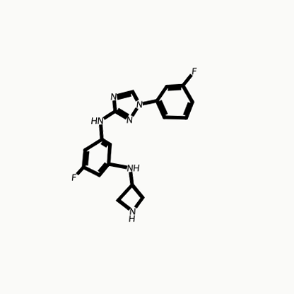 Fc1cc(Nc2ncn(-c3cccc(F)c3)n2)cc(NC2CNC2)c1